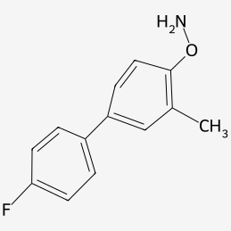 Cc1cc(-c2ccc(F)cc2)ccc1ON